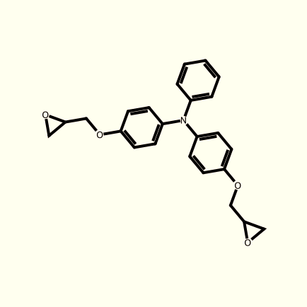 c1ccc(N(c2ccc(OCC3CO3)cc2)c2ccc(OCC3CO3)cc2)cc1